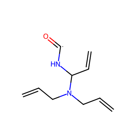 C=CCN(CC=C)C(C=C)N[C]=O